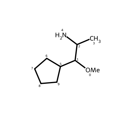 COC(C(C)N)C1CCCC1